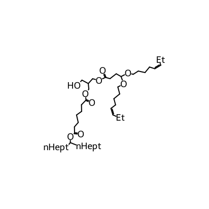 CC/C=C\CCCCOC(CCC(=O)OCC(CO)COC(=O)CCCCCC(=O)OC(CCCCCCC)CCCCCCC)OCCCC/C=C\CC